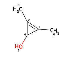 CC1=C(C)C1O